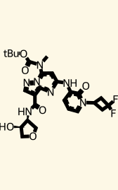 CN(C(=O)OC(C)(C)C)c1cc(Nc2cccn(C3CC(F)(F)C3)c2=O)nc2c(C(=O)N[C@H]3COC[C@H]3O)cnn12